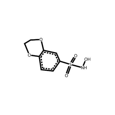 O=S(=O)(NO)c1ccc2c(c1)OCCO2